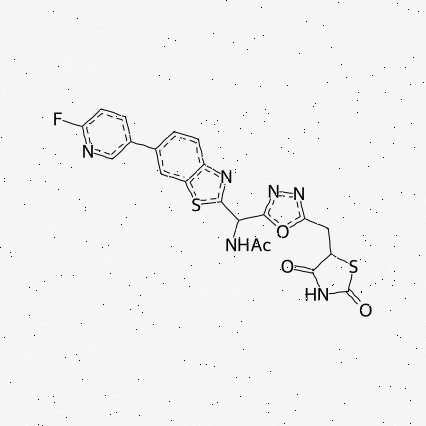 CC(=O)NC(c1nnc(CC2SC(=O)NC2=O)o1)c1nc2ccc(-c3ccc(F)nc3)cc2s1